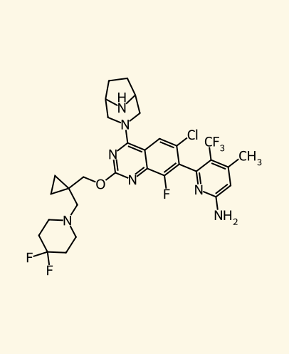 Cc1cc(N)nc(-c2c(Cl)cc3c(N4CC5CCC(C4)N5)nc(OCC4(CN5CCC(F)(F)CC5)CC4)nc3c2F)c1C(F)(F)F